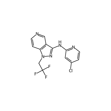 FC(F)(F)Cn1nc(Nc2cc(Cl)ccn2)c2cnccc21